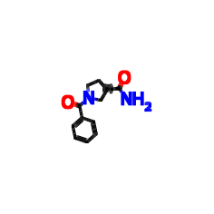 NC(=O)[C@@H]1CCN(C(=O)c2ccccc2)C1